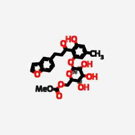 COC(=O)OCC1O[C@@H](Oc2cc(C)cc(O)c2C(=O)CCc2ccc3occc3c2)[C@@H](O)C(O)[C@@H]1O